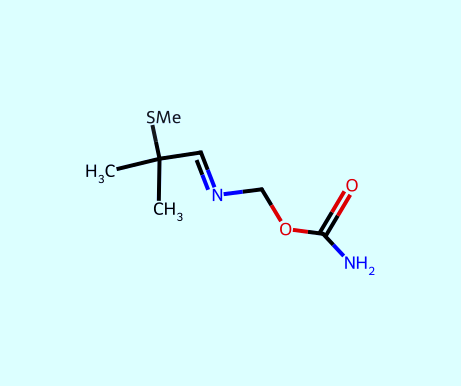 CSC(C)(C)/C=N/COC(N)=O